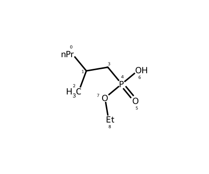 CCCC(C)CP(=O)(O)OCC